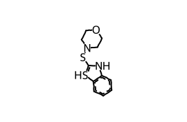 c1ccc2c(c1)NC(SN1CCOCC1)=[SH]2